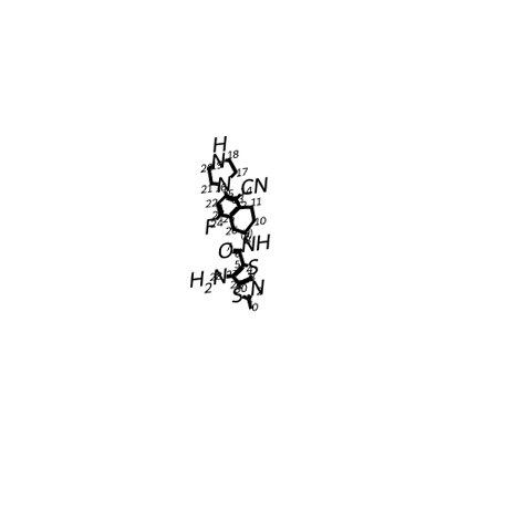 Cc1nc2sc(C(=O)N[C@H]3CCc4c(C#N)c(N5CCNCC5)cc(F)c4C3)c(N)c2s1